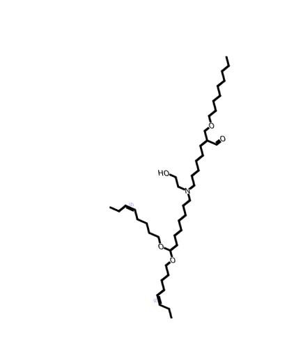 CC/C=C\CCCCOC(CCCCCCCN(CCO)CCCCCCC(C=O)COCCCCCCCCC)OCCCC/C=C\CC